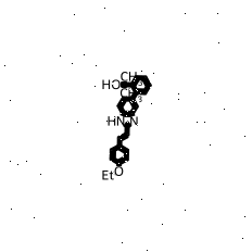 CCOc1ccc(/C=C/c2nc3cc(-c4ccccc4C(C)(C)O)ccc3[nH]2)cc1